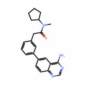 CN(C(=O)Cc1cccc(-c2ccc3ncnc(N)c3c2)c1)C1CCCC1